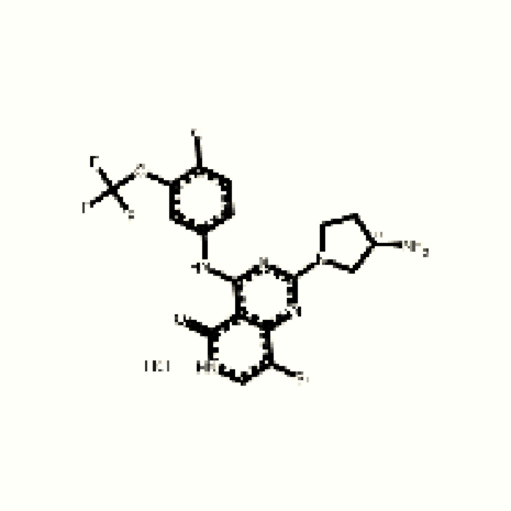 Cl.N[C@@H]1CCN(c2nc(Nc3ccc(Cl)c(OC(F)(F)F)c3)c3c(=O)[nH]cc(Br)c3n2)C1